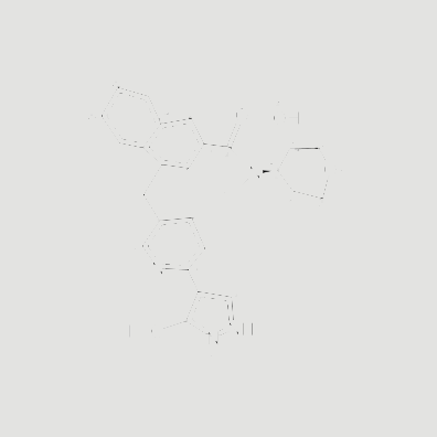 Cc1n[nH]cc1-c1ccc(Cc2cc(C(=O)N(F)[C@@H]3CCOC[C@H]3O)cc3ccccc23)cn1